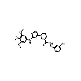 COc1cccc(CNC(=O)C2CCCN(c3ccnc(Nc4cc(OC)c(OC)c(OC)c4)n3)C2)c1